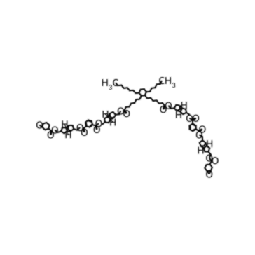 CCCCCCCCC1CCC(CCCCCC)C(CCCCCCC(=O)OCC2CC3CC2[C@@H]2CC(COC(=O)c4cccc(C(=O)OCC5CC6CC5[C@@H]5CC(COC(=O)C7CCC8OC8C7)C[C@H]65)c4)C[C@H]32)C1CCCCCCC(=O)OCC1CC2CC1[C@@H]1CC(COC(=O)c3cccc(C(=O)OCC4CC5CC4[C@@H]4CC(COC(=O)C6CCC7OC7C6)C[C@H]54)c3)C[C@H]21